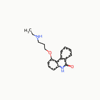 CCNCCCOc1cccc2[nH]c(=O)c3ccccc3c12